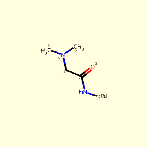 [CH2]CCCNC(=O)CN(C)C